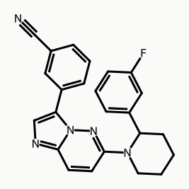 N#Cc1cccc(-c2cnc3ccc(N4CCCCC4c4cccc(F)c4)nn23)c1